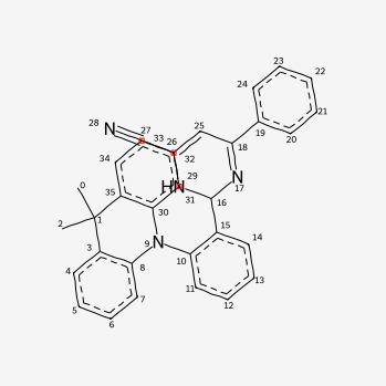 CC1(C)c2ccccc2N(c2ccccc2C2N=C(c3ccccc3)C=C(C#N)N2)c2ccccc21